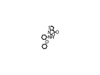 O=c1oc(Nc2ccccc2Oc2ccccc2)nc2sccc12